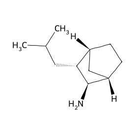 CC(C)C[C@@H]1[C@@H]2CC[C@@H](C2)[C@H]1N